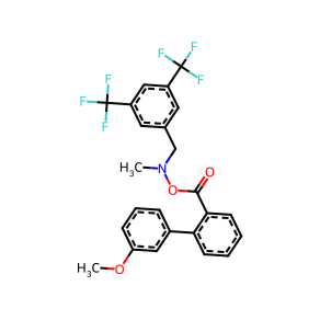 COc1cccc(-c2ccccc2C(=O)ON(C)Cc2cc(C(F)(F)F)cc(C(F)(F)F)c2)c1